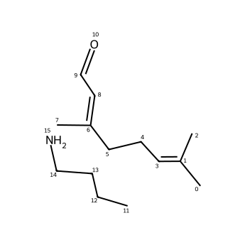 CC(C)=CCCC(C)=CC=O.CCCCN